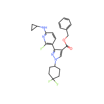 O=C(OCc1ccccc1)c1cn(C2CCC(F)(F)CC2)nc1-c1ccc(NC2CC2)nc1F